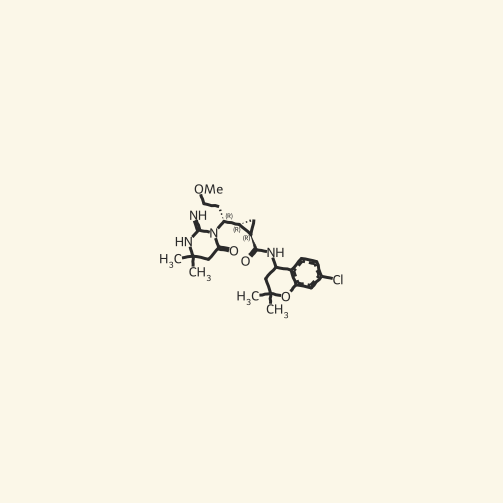 COCC[C@H]([C@@H]1C[C@H]1C(=O)NC1CC(C)(C)Oc2cc(Cl)ccc21)N1C(=N)NC(C)(C)CC1=O